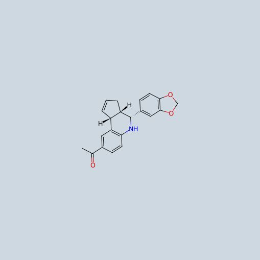 CC(=O)c1ccc2c(c1)[C@@H]1C=CC[C@@H]1[C@H](c1ccc3c(c1)OCO3)N2